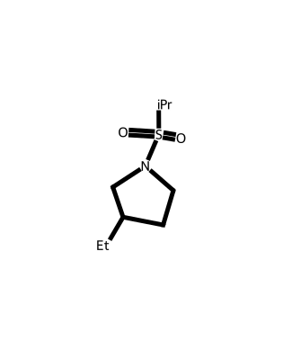 CCC1CCN(S(=O)(=O)C(C)C)C1